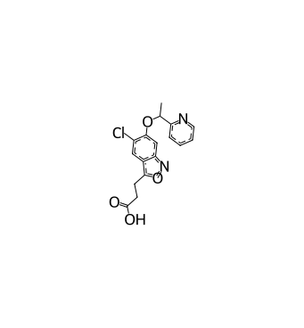 CC(Oc1cc2noc(CCC(=O)O)c2cc1Cl)c1ccccn1